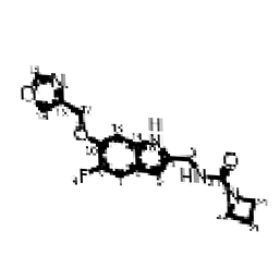 O=C(NCc1cc2cc(F)c(OCc3cocn3)cc2[nH]1)N1CCC1